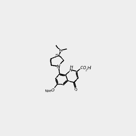 COc1cc(N2CC[C@@H](N(C)C)C2)c2[nH]c(C(=O)O)cc(=O)c2c1